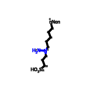 CCCCCCCCCCCCCCN(N)CCCS(=O)(=O)O